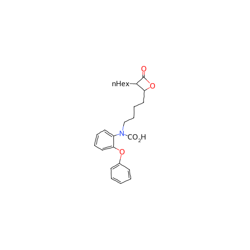 CCCCCCC1C(=O)OC1CCCCN(C(=O)O)c1ccccc1Oc1ccccc1